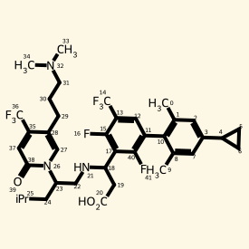 Cc1cc(C2CC2)cc(C)c1-c1cc(C(F)(F)F)c(F)c(C(CC(=O)O)NCC(CC(C)C)n2cc(CCCN(C)C)c(C(F)(F)F)cc2=O)c1F